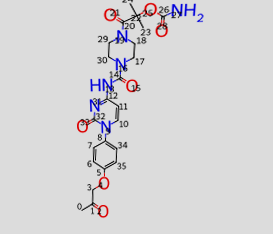 CC(=O)COc1ccc(-n2ccc(NC(=O)N3CCN(C(=O)C(C)(C)OC(N)=O)CC3)nc2=O)cc1